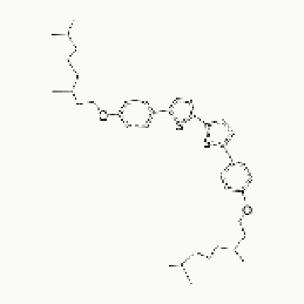 CC(C)CCCC(C)CCOc1ccc(-c2ccc(-c3ccc(-c4ccc(OCCC(C)CCCC(C)C)cc4)s3)s2)cc1